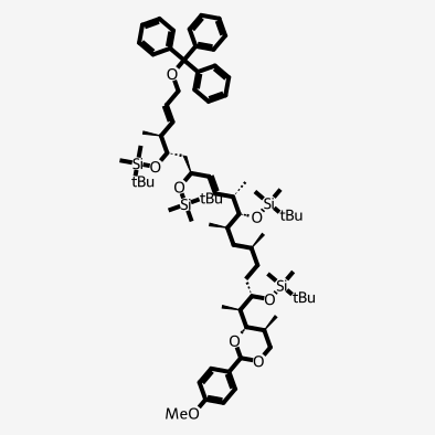 COc1ccc(C2OC[C@H](C)[C@@H]([C@@H](C)[C@H](CC[C@H](C)C[C@@H](C)[C@@H](O[Si](C)(C)C(C)(C)C)[C@@H](C)C=C[C@H](C[C@H](O[Si](C)(C)C(C)(C)C)[C@@H](C)C=CCOC(c3ccccc3)(c3ccccc3)c3ccccc3)O[Si](C)(C)C(C)(C)C)O[Si](C)(C)C(C)(C)C)O2)cc1